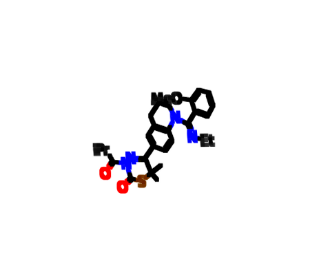 CCN=C(c1ccccc1OC)N1CCCc2cc(C3=NN(C(=O)C(C)C)C(=O)SC3(C)C)ccc21